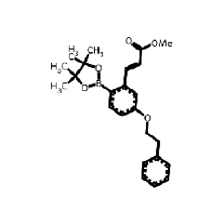 COC(=O)/C=C/c1cc(OCCc2ccccc2)ccc1B1OC(C)(C)C(C)(C)O1